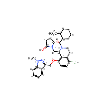 Cn1nc(COc2ccc(Cl)c3c2[C@@H](CN2CCCC2=O)N(C(=O)C2CCCCC2C(=O)O)CC3)c2ccccc21